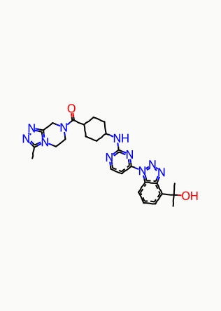 Cc1nnc2n1CCN(C(=O)C1CCC(Nc3nccc(-n4nnc5c(C(C)(C)O)cccc54)n3)CC1)C2